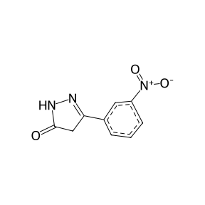 O=C1CC(c2cccc([N+](=O)[O-])c2)=NN1